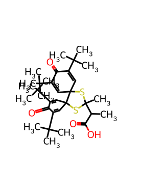 CC(C(=O)O)C1(C)SC2(C=C(C(C)(C)C)C(=O)C(C(C)(C)C)=C2)C2(C=C(C(C)(C)C)C(=O)C(C(C)(C)C)=C2)S1